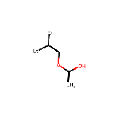 CCC(CC)COC(C)O